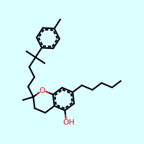 CCCCCc1cc(O)c2c(c1)OC(C)(CCCC(C)(C)c1ccc(C)cc1)CC2